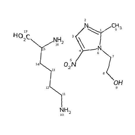 Cc1ncc([N+](=O)[O-])n1CCO.NCCCCC(N)C(=O)O